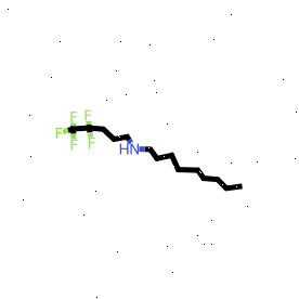 CCCCCCCCCNCCCC(F)(F)C(F)(F)F